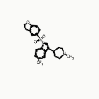 CN1CC=C(c2cn(S(=O)(=O)c3ccc4c(c3)CCO4)c3ccc(C(F)(F)F)cc23)CC1